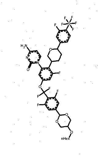 CCCCCCOC1COC(c2cc(F)c(C(F)(F)Oc3cc(F)c(C4CCC(c5ccc(S(F)(F)(F)(F)F)c(F)c5)OC4)c(-n4ccc(N)nc4=O)c3)c(F)c2)OC1